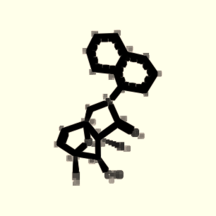 O=C[C@H]1[C@@H]2C=C[C@@]3(CN(c4cccc5ccccc45)C(=O)[C@@H]13)O2